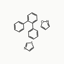 c1ccc(-c2ccccc2-c2ccccc2)cc1.c1cnoc1.c1cscn1